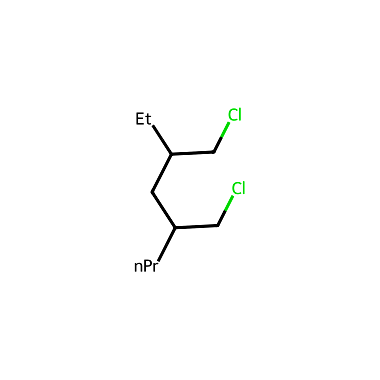 [CH2]CCC(CCl)CC(CC)CCl